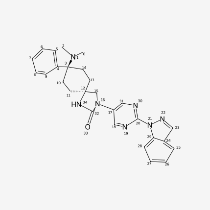 CN(C)[C@]1(c2ccccc2)CC[C@]2(CC1)CN(c1cnc(-n3ncc4ccccc43)nc1)C(=O)N2